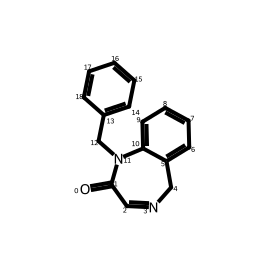 O=C1C=NCc2ccccc2N1Cc1ccccc1